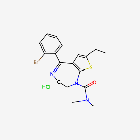 CCc1cc2c(s1)N(C(=O)N(C)C)CCN=C2c1ccccc1Br.Cl